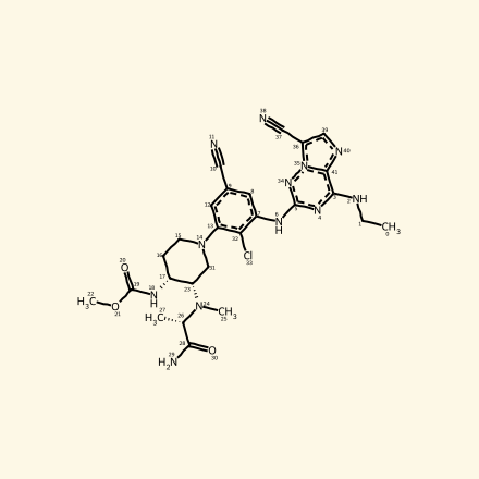 CCNc1nc(Nc2cc(C#N)cc(N3CC[C@@H](NC(=O)OC)[C@@H](N(C)[C@@H](C)C(N)=O)C3)c2Cl)nn2c(C#N)cnc12